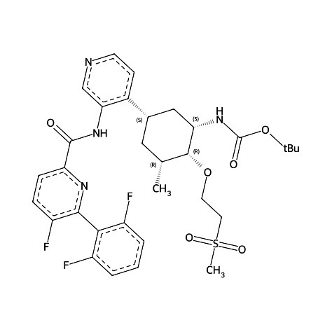 C[C@@H]1C[C@H](c2ccncc2NC(=O)c2ccc(F)c(-c3c(F)cccc3F)n2)C[C@H](NC(=O)OC(C)(C)C)[C@@H]1OCCS(C)(=O)=O